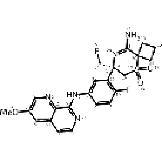 COc1cnc2c(Nc3ccc(F)c([C@]4(CF)CS(=O)(=O)C5(CCC5)C(N)=N4)c3)nccc2c1